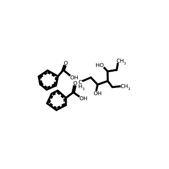 CCC(O)C(CC)C(O)CC.O=C(O)c1ccccc1.O=C(O)c1ccccc1